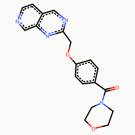 O=C(c1ccc(OCc2ncc3ccncc3n2)cc1)N1CCOCC1